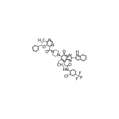 CCc1c(N2CCN(C(=O)c3ncnc(C)c3OCc3ccccc3)CC2)c(=O)n2nc(-c3cc4ccccc4[nH]3)nc2n1CC(=O)Nc1ccc(C(F)(F)F)cc1Cl